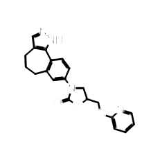 O=C1OC(COc2ccccn2)CN1c1ccc2c(c1)CCCc1cn[nH]c1-2